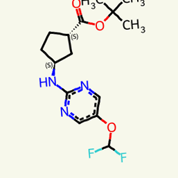 CC(C)(C)OC(=O)[C@H]1CC[C@H](Nc2ncc(OC(F)F)cn2)C1